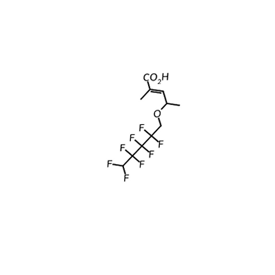 CC(=CC(C)OCC(F)(F)C(F)(F)C(F)(F)C(F)F)C(=O)O